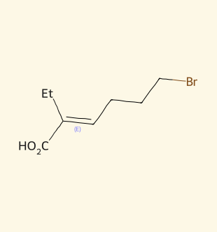 CC/C(=C\CCCBr)C(=O)O